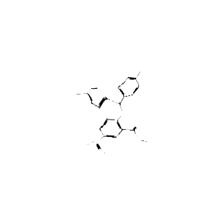 COC(=O)c1cc([N+](=O)[O-])ccc1OC(c1ccc(F)cc1)c1ccc(Cl)cc1